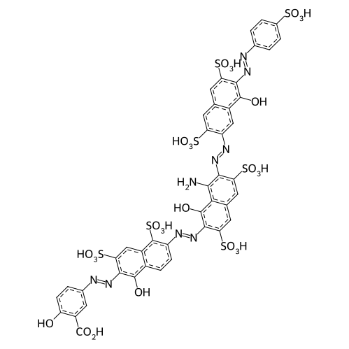 Nc1c(N=Nc2cc3c(O)c(N=Nc4ccc(S(=O)(=O)O)cc4)c(S(=O)(=O)O)cc3cc2S(=O)(=O)O)c(S(=O)(=O)O)cc2cc(S(=O)(=O)O)c(N=Nc3ccc4c(O)c(N=Nc5ccc(O)c(C(=O)O)c5)c(S(=O)(=O)O)cc4c3S(=O)(=O)O)c(O)c12